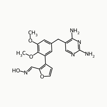 COc1cc(Cc2cnc(N)nc2N)cc(-c2ccoc2C=NO)c1OC